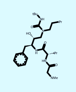 CNCC(=O)N[C@H](C(=O)N[C@@H](Cc1ccccc1)[C@H](O)CN(CCC(C)C)C(=O)NC(C)(C)C)C(C)C